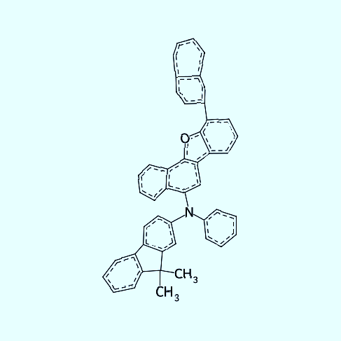 CC1(C)c2ccccc2-c2ccc(N(c3ccccc3)c3cc4c5cccc(-c6ccc7ccccc7c6)c5oc4c4ccccc34)cc21